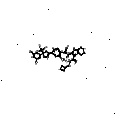 Cc1cc(C2=NOC(c3cc(Cl)cc(Cl)c3)(C(F)(F)F)C2)ccc1C(=O)Nc1sc2c(c1C(=O)NCC1CCC1)CCCC2